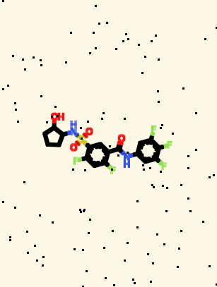 O=C(Nc1cc(F)c(F)c(F)c1)c1cc(S(=O)(=O)NC2CCCC2O)c(F)cc1F